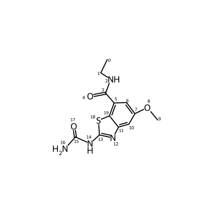 CCNC(=O)c1cc(OC)cc2nc(NC(N)=O)sc12